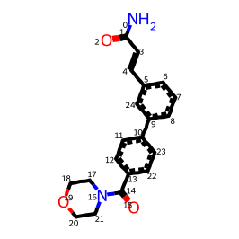 NC(=O)C=Cc1cccc(-c2ccc(C(=O)N3CCOCC3)cc2)c1